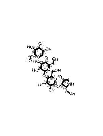 OC[C@H]1NC[C@@H](O)[C@@H]1O[C@H]1O[C@H](CO)[C@H](O[C@@H]2O[C@H](CO)[C@@H](O[C@@H]3O[C@H](CO)[C@@H](O)[C@H](O)[C@H]3O)[C@H](O)[C@H]2O)[C@H](O)[C@H]1O